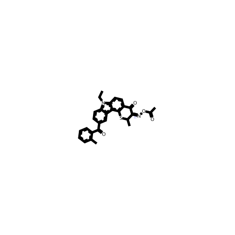 CCn1c2ccc(C(=O)c3ccccc3C)cc2c2c3c(ccc21)C(=O)/C(=N\OC(C)=O)C(C)S3